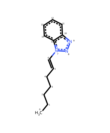 CCCCCC=Cn1nnc2ccccc21